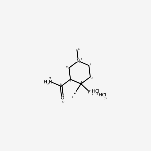 CN1CCC(F)(F)C(C(N)=O)C1.Cl.Cl